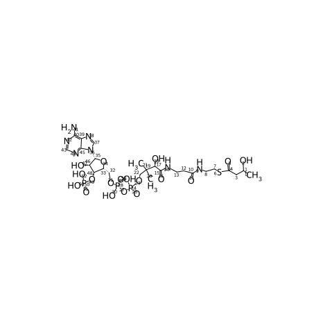 C[C@H](O)CC(=O)SCCNC(=O)CCNC(=O)[C@H](O)C(C)(C)COP(=O)(O)OP(=O)(O)OC[C@H]1O[C@@H](n2cnc3c(N)ncnc32)[C@H](O)[C@@H]1OP(=O)(O)O